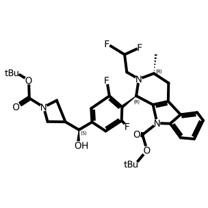 C[C@@H]1Cc2c(n(C(=O)OC(C)(C)C)c3ccccc23)[C@@H](c2c(F)cc([C@@H](O)C3CN(C(=O)OC(C)(C)C)C3)cc2F)N1CC(F)F